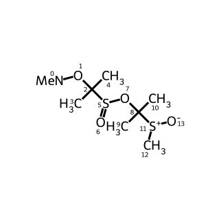 CNOC(C)(C)S(=O)OC(C)(C)[S+](C)[O-]